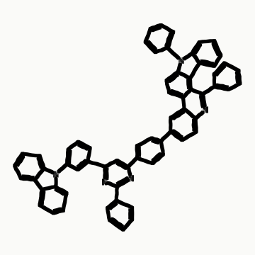 c1ccc(-c2nc(-c3ccc(-c4ccc5nc(-c6ccccc6)c6c(ccc7c6c6ccccc6n7-c6ccccc6)c5c4)cc3)cc(-c3cccc(-n4c5ccccc5c5ccccc54)c3)n2)cc1